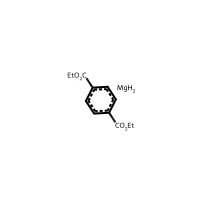 CCOC(=O)c1ccc(C(=O)OCC)cc1.[MgH2]